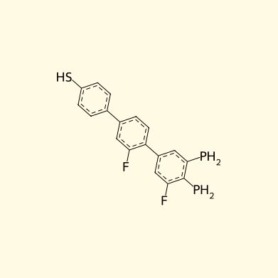 Fc1cc(-c2ccc(S)cc2)ccc1-c1cc(F)c(P)c(P)c1